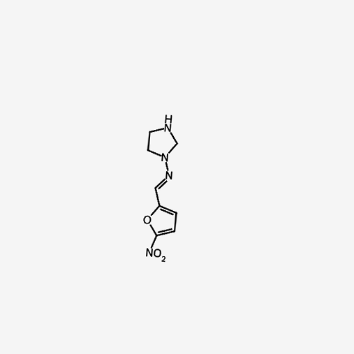 O=[N+]([O-])c1ccc(C=NN2CCNC2)o1